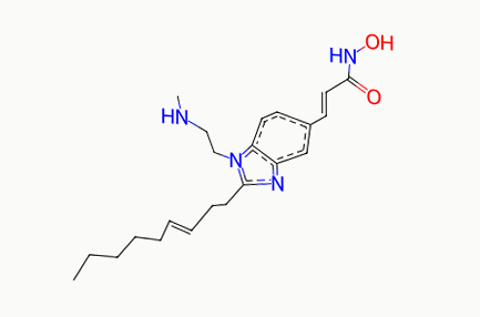 CCCCC/C=C/CCc1nc2cc(/C=C/C(=O)NO)ccc2n1CCNC